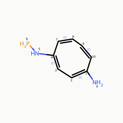 NC1=C/C=C(NP)\C=C/C=C\1